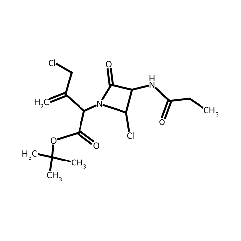 C=C(CCl)C(C(=O)OC(C)(C)C)N1C(=O)C(NC(=O)CC)C1Cl